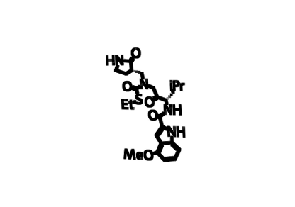 CCSC(=O)N(CC(=O)[C@H](CC(C)C)NC(=O)c1cc2c(OC)cccc2[nH]1)C[C@@H]1CCNC1=O